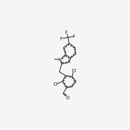 Cn1c(Cc2c(Cl)ccc(C=O)c2Cl)cc2ccc(C(F)(F)F)cc21